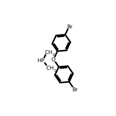 Brc1ccc(Oc2ccc(Br)cc2)cc1.CPC